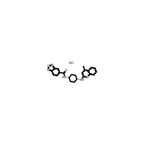 Cc1cc(N[C@H]2CC[C@@H](NC(=O)c3ccc4nonc4c3)CC2)nc2ccccc12.Cl